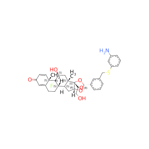 C[C@]12C=CC(=O)C=C1CC[C@H]1[C@@H]3C[C@H]4O[C@@H](c5cccc(CSc6cccc(N)c6)c5)O[C@@]4(C(=O)CO)[C@@]3(C)C[C@H](O)[C@@]12F